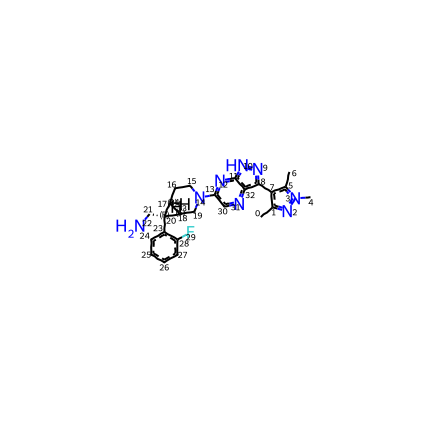 Cc1nn(C)c(C)c1-c1n[nH]c2nc(N3CC[C@@H]4[C@H](C3)[C@@]4(CN)c3ccccc3F)cnc12